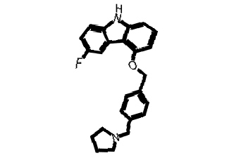 Fc1ccc2[nH]c3cccc(OCc4ccc(CN5CCCC5)cc4)c3c2c1